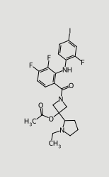 CCN1CCCC1C1(OC(C)=O)CN(C(=O)c2ccc(F)c(F)c2Nc2ccc(I)cc2F)C1